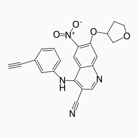 C#Cc1cccc(Nc2c(C#N)cnc3cc(OC4CCOC4)c([N+](=O)[O-])cc23)c1